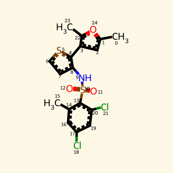 Cc1cc(-c2sccc2NS(=O)(=O)c2c(C)cc(Cl)cc2Cl)c(C)o1